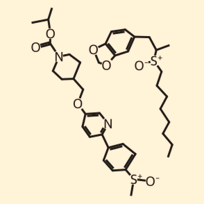 CC(C)OC(=O)N1CCC(COc2ccc(-c3ccc([S+](C)[O-])cc3)nc2)CC1.CCCCCCCC[S+]([O-])C(C)Cc1ccc2c(c1)OCO2